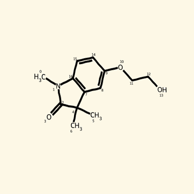 CN1C(=O)C(C)(C)c2cc(OCCO)ccc21